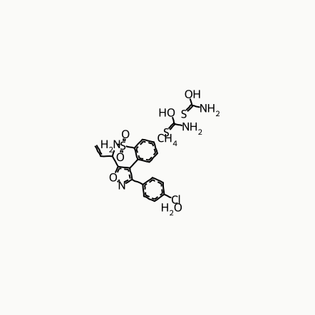 C.C=CC(C)c1onc(-c2ccc(Cl)cc2)c1-c1ccccc1S(N)(=O)=O.NC(O)=S.NC(O)=S.O